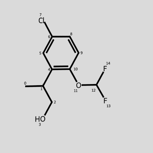 C[C](CO)c1cc(Cl)ccc1OC(F)F